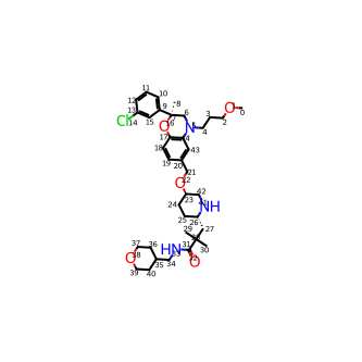 COCCCN1C[C@](C)(c2cccc(Cl)c2)Oc2ccc(CO[C@@H]3CC[C@@H](CC(C)(C)C(=O)NCC4CCOCC4)NC3)cc21